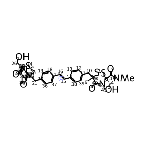 CNC(=O)[C@]1(CO)SS[C@@](C)(Cc2ccc(/C=C/c3ccc(C[C@@]45SS[C@@](CO)(C(=O)N4C)N(C)C5=O)cc3)cc2)C(=O)N1C